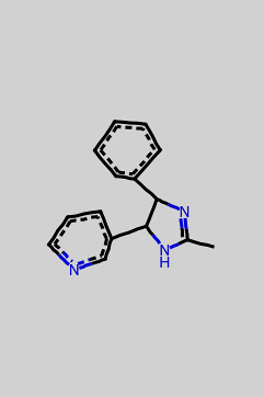 CC1=NC(c2ccccc2)C(c2cccnc2)N1